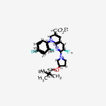 CCOC(=O)C1=Cc2cc(F)c(N3CCC(O[SiH2]C(C)(C)C(C)C)C3)nc2N(c2ccc(F)cc2F)C1